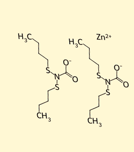 CCCCSN(SCCCC)C(=O)[O-].CCCCSN(SCCCC)C(=O)[O-].[Zn+2]